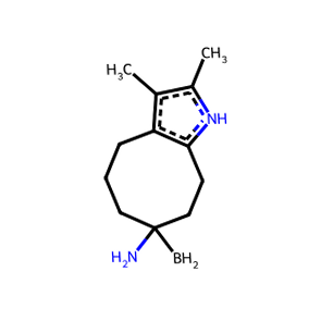 BC1(N)CCCc2c([nH]c(C)c2C)CC1